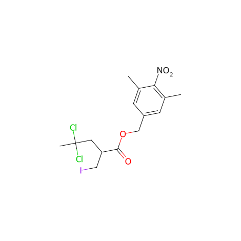 Cc1cc(COC(=O)C(CI)CC(C)(Cl)Cl)cc(C)c1[N+](=O)[O-]